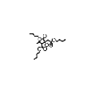 CCCCOC(=O)CC(O)(C(=O)OCCCC)C(CC)C(=O)OCCCC